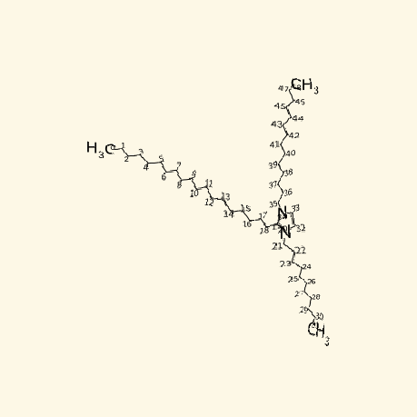 CCCCCCCCCCCCCCCCCCCC1N(CCCCCCCCCCC)C=CN1CCCCCCCCCCCCCC